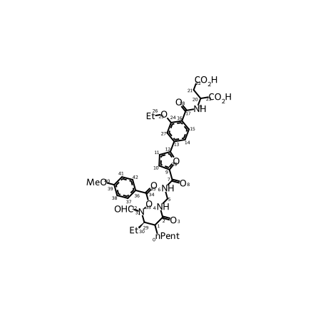 CCCCCC(C(=O)NCNC(=O)c1ccc(-c2ccc(C(=O)NC(CC(=O)O)C(=O)O)c(OCC)c2)o1)[C@@H](CC)N(C=O)OC(=O)c1ccc(OC)cc1